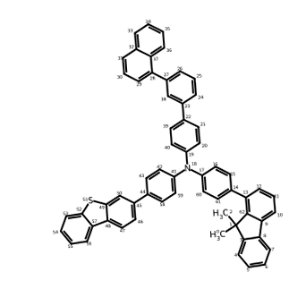 CC1(C)c2ccccc2-c2cccc(-c3ccc(N(c4ccc(-c5cccc(-c6cccc7ccccc67)c5)cc4)c4ccc(-c5ccc6c(c5)sc5ccccc56)cc4)cc3)c21